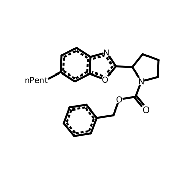 CCCCCc1ccc2nc(C3CCCN3C(=O)OCc3ccccc3)oc2c1